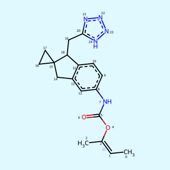 C/C=C(/C)OC(=O)Nc1ccc2c(c1)CC1(CC1)C2Cc1nnn[nH]1